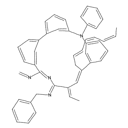 C=N\C1=N/C(=N\Cc2ccccc2)C(=C/C)/C=C(\C/C=C/C=C\C=C/C)c2cccc(c2)N(c2ccccc2)c2cccc(c2)-c2cccc1c2